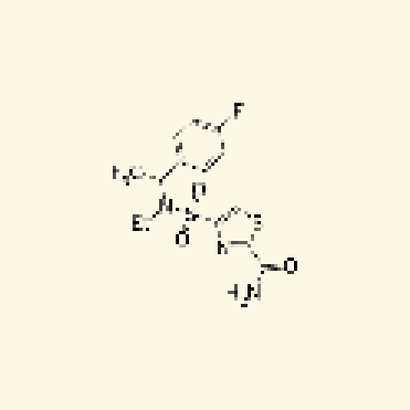 CCN(C(c1ccc(F)cc1)C(F)(F)F)S(=O)(=O)c1csc(C(N)=O)n1